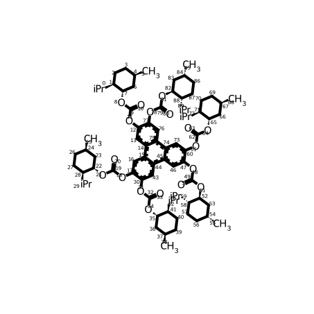 CC(C)[C@H]1CC[C@@H](C)C[C@@H]1OC(=O)Oc1cc2c3cc(OC(=O)O[C@H]4C[C@H](C)CC[C@@H]4C(C)C)c(OC(=O)O[C@H]4C[C@H](C)CC[C@@H]4C(C)C)cc3c3cc(OC(=O)O[C@H]4C[C@H](C)CC[C@@H]4C(C)C)c(OC(=O)O[C@H]4C[C@H](C)CC[C@@H]4C(C)C)cc3c2cc1OC(=O)O[C@H]1C[C@H](C)CC[C@@H]1C(C)C